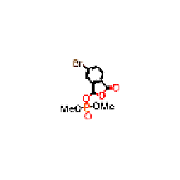 COP(=O)(OC)OC1OC(=O)c2ccc(Br)cc21